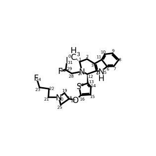 C[C@@H]1Cc2c([nH]c3ccccc23)[C@@H](c2ccc(OC3CN(CCCF)C3)s2)N1CC(F)I